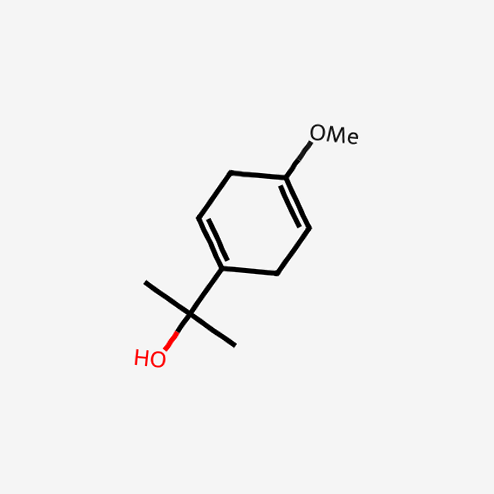 COC1=CCC(C(C)(C)O)=CC1